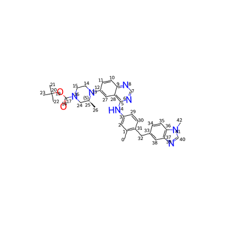 Cc1cc(Nc2ncnc3ccc(N4CCN(C(=O)OC(C)(C)C)C[C@@H]4C)cc23)ccc1Cc1ccc2c(c1)ncn2C